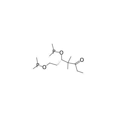 CCC(=O)C(C)(C)[C@H](CCOP(C)C)OP(C)C